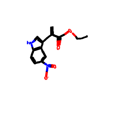 C=C(C(=O)OCC)c1c[nH]c2ccc([N+](=O)[O-])cc12